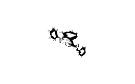 O=C(OCc1ccccc1)c1ccccc1N(I)c1ccccc1